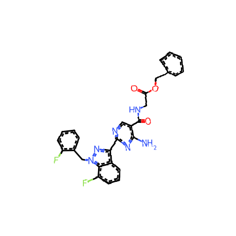 Nc1nc(-c2nn(Cc3ccccc3F)c3c(F)cccc23)ncc1C(=O)NCC(=O)OCc1ccccc1